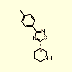 Cc1ccc(-c2noc([C@H]3CCCNC3)n2)cc1